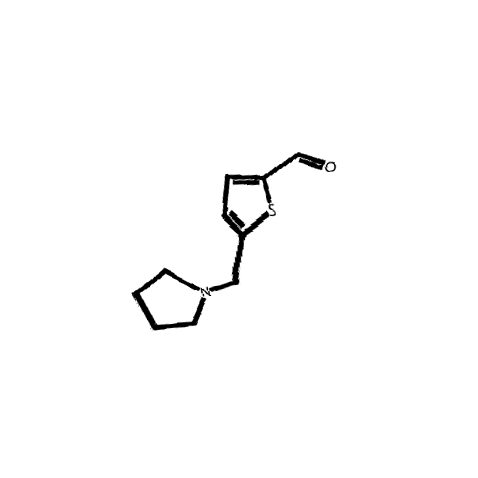 O=Cc1ccc(CN2CCCC2)s1